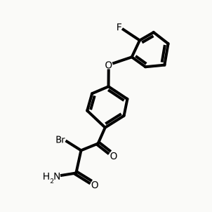 NC(=O)C(Br)C(=O)c1ccc(Oc2ccccc2F)cc1